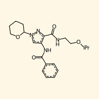 CC(C)OCCNC(=O)c1nn(C2CCCCO2)cc1NC(=O)c1ccccc1